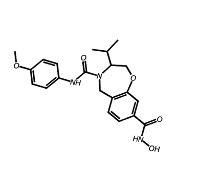 COc1ccc(NC(=O)N2Cc3ccc(C(=O)NO)cc3OCC2C(C)C)cc1